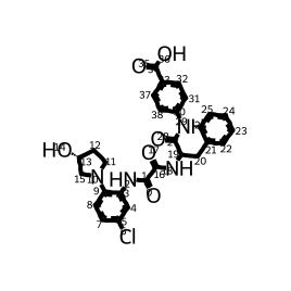 O=C(Nc1cc(Cl)ccc1N1CC[C@@H](O)C1)C(=O)NC(Cc1ccccc1)C(=O)Nc1ccc(C(=O)O)cc1